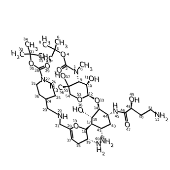 CN(C(=O)OC(C)(C)C)[C@@H]1[C@@H](O)[C@@H](O[C@@H]2[C@@H](O)[C@H](C3OC(CNCC4CCN(C(=O)OC(C)(C)C)CC4)=CC[C@H]3N)[C@@H](N)C[C@H]2NC(=O)[C@@H](O)CCN)OC[C@]1(C)O